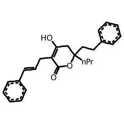 CCCC1(CCc2ccccc2)CC(O)=C(CC=Cc2ccccc2)C(=O)O1